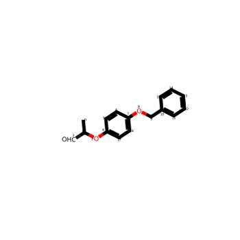 CC(C=O)Oc1ccc(OCc2ccccc2)cc1